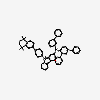 CC1(C)CCC(C)(C)c2cc(-c3ccc(-n4c5ccccc5c5ccc(N(c6cccc(-c7ccccc7)c6)c6ccc(-c7ccccc7)cc6-c6ccccc6)cc54)cc3)ccc21